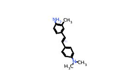 Cc1cc(/C=C/c2ccc(N(C)C)cc2)ccc1N